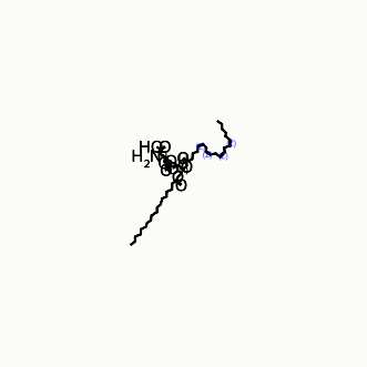 CCCCC/C=C\C/C=C\C/C=C\C/C=C\CCCC(=O)O[C@H](COC(=O)CCCCCCCCCCCCCCCCC)COP(=O)(O)OC[C@H](N)C(=O)O